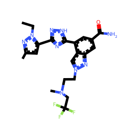 CCn1nc(C)cc1-c1n[nH]c(-c2cc(C(N)=O)cc3nn(CCN(C)CC(F)(F)F)cc23)n1